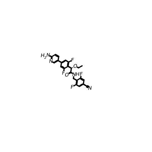 CCO[C@H](C(=O)NCc1c(F)cc(C#N)cc1F)c1c(F)cc(-c2ccc(N)nc2)cc1F